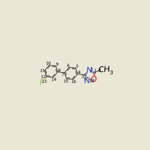 Cc1nc(-c2ccc(-c3cccc(F)c3)cc2)no1